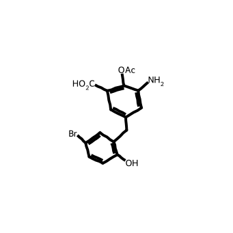 CC(=O)Oc1c(N)cc(Cc2cc(Br)ccc2O)cc1C(=O)O